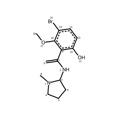 C=C(NC1CCCN1C)c1c(O)ccc(Br)c1OC